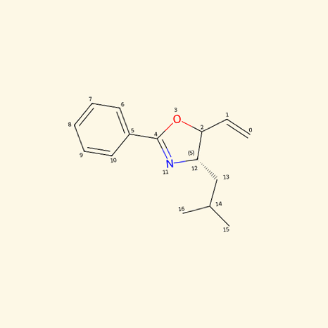 C=CC1OC(c2ccccc2)=N[C@H]1CC(C)C